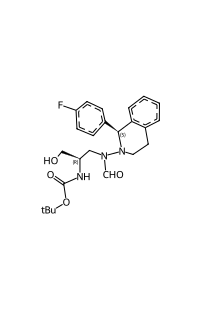 CC(C)(C)OC(=O)N[C@@H](CO)CN(C=O)N1CCc2ccccc2[C@@H]1c1ccc(F)cc1